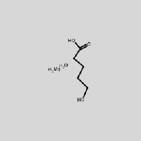 O.O=C(O)CCCCO.[MgH2]